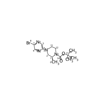 C[C@H]1CN(c2cnc(Br)cn2)CCN1C(=O)OC(C)(C)C